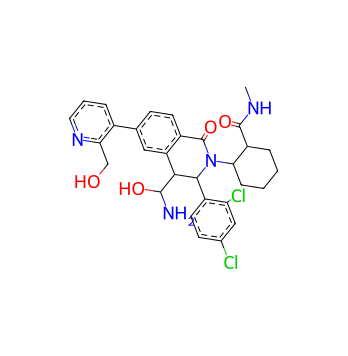 CNC(=O)C1CCCCC1N1C(=O)c2ccc(-c3cccnc3CO)cc2C(C(N)O)C1c1ccc(Cl)cc1Cl